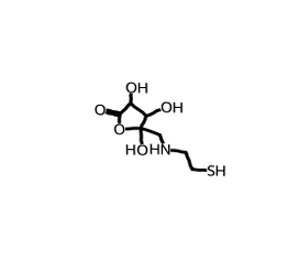 O=C1OC(O)(CNCCS)C(O)C1O